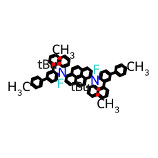 Cc1ccc(-c2cc(F)c(N(c3ccccc3C(C)(C)C)c3ccc4ccc5c(N(c6ccccc6C(C)(C)C)c6c(F)cc(-c7ccc(C)cc7)cc6-c6ccc(C)cc6)ccc6ccc3c4c65)c(-c3ccc(C)cc3)c2)cc1